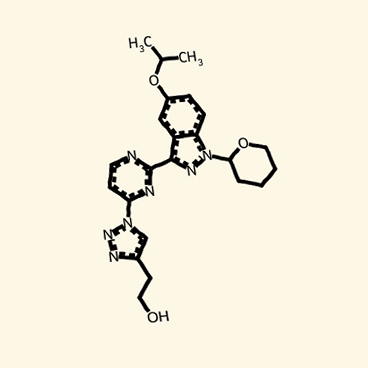 CC(C)Oc1ccc2c(c1)c(-c1nccc(-n3cc(CCO)nn3)n1)nn2C1CCCCO1